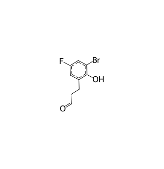 O=CCCc1cc(F)cc(Br)c1O